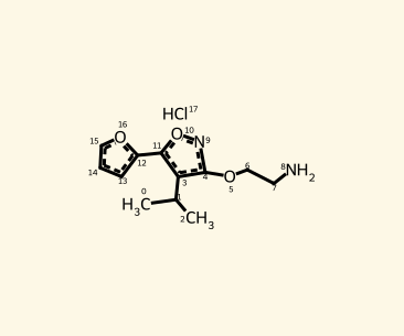 CC(C)c1c(OCCN)noc1-c1ccco1.Cl